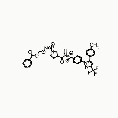 Cc1ccc(-c2cc(C(F)(F)F)nn2-c2ccc(S(=O)(=O)NC(=O)C3CCN(/[N+]([O-])=N\OCOC(=O)c4ccccc4)C3)cc2)cc1